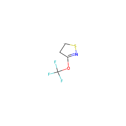 FC(F)(F)OC1=NS[CH]C1